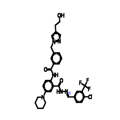 O=C(Nc1ccc(N2CCCCC2)cc1C(=O)N/N=C/c1ccc(Cl)c(C(F)(F)F)c1)c1cccc(Cn2cc(CCO)cn2)c1